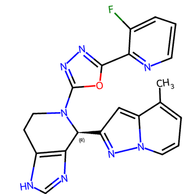 Cc1cccn2nc([C@H]3c4nc[nH]c4CCN3c3nnc(-c4ncccc4F)o3)cc12